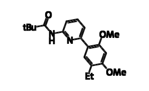 CCc1cc(-c2cccc(NC(=O)C(C)(C)C)n2)c(OC)cc1OC